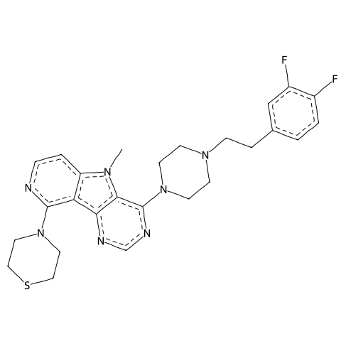 Cn1c2ccnc(N3CCSCC3)c2c2ncnc(N3CCN(CCc4ccc(F)c(F)c4)CC3)c21